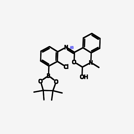 CN1c2ccccc2/C(=N/c2cccc(B3OC(C)(C)C(C)(C)O3)c2Cl)OC1O